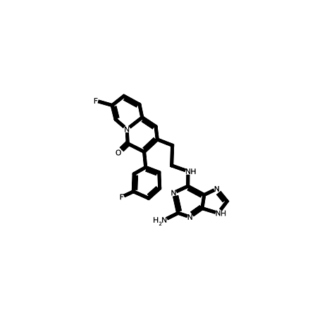 Nc1nc(NCCc2cc3ccc(F)cn3c(=O)c2-c2cccc(F)c2)c2nc[nH]c2n1